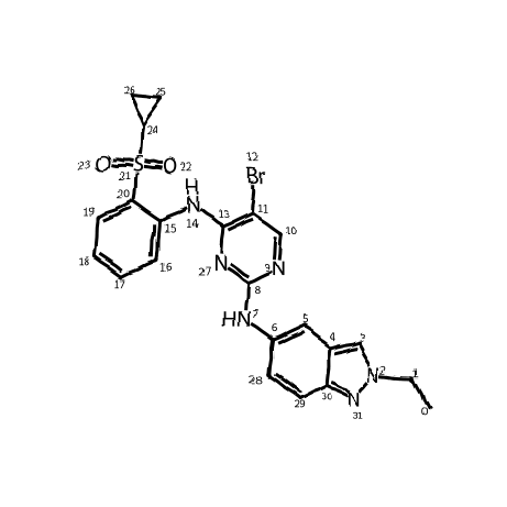 CCn1cc2cc(Nc3ncc(Br)c(Nc4ccccc4S(=O)(=O)C4CC4)n3)ccc2n1